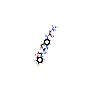 CCCCNCC(=O)Nc1ccc2c(c1)COC(NC1COc3cc(F)ccc31)=N2